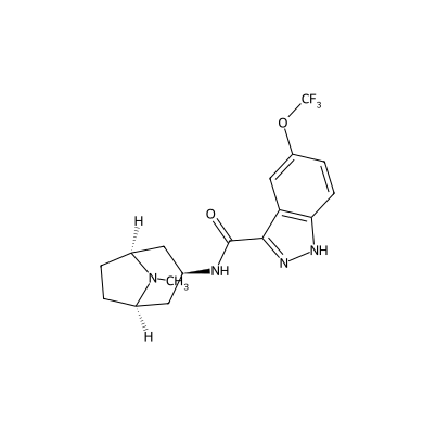 CN1[C@@H]2CC[C@H]1C[C@@H](NC(=O)c1n[nH]c3ccc(OC(F)(F)F)cc13)C2